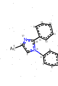 CC(=O)c1cn(-c2ccccc2)c(-c2ccccc2)n1